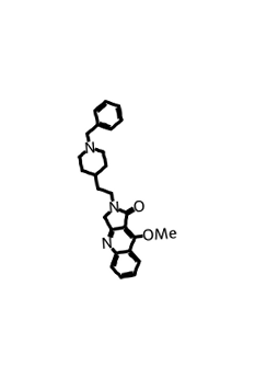 COc1c2c(nc3ccccc13)CN(CCC1CCN(Cc3ccccc3)CC1)C2=O